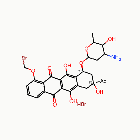 Br.CC(=O)[C@]1(O)Cc2c(O)c3c(c(O)c2[C@@H](OC2CC(N)C(O)C(C)O2)C1)C(=O)c1c(OCBr)cccc1C3=O